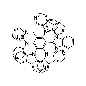 C/N=C\c1c(-n2c3ccccc3c3ccncc32)c(-c2nc3ccccc3n2-c2ccccc2)c(-n2c3ccccc3c3ccncc32)c(-n2c3ccccc3c3ccncc32)c1-n1c2ccccc2c2cnccc21